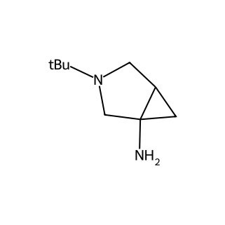 CC(C)(C)N1CC2CC2(N)C1